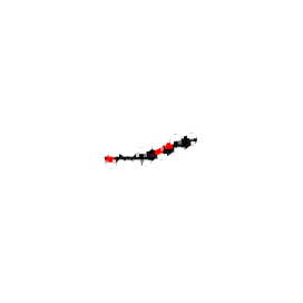 C=CC(=O)OCCCCCCOC(=O)Oc1ccc(C(=O)Oc2ccc(C(=O)Oc3ccc(OC)c(C)c3)cc2)cc1